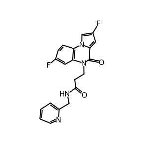 O=C(CCn1c(=O)c2cc(F)cn2c2ccc(F)cc21)NCc1ccccn1